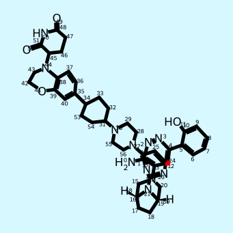 Nc1nnc(-c2ccccc2O)cc1N1C[C@H]2CC[C@@H](C1)N2c1nccc(N2CCN(C3CCC(c4ccc5c(c4)OCCN5C4CCC(=O)NC4=O)CC3)CC2)n1